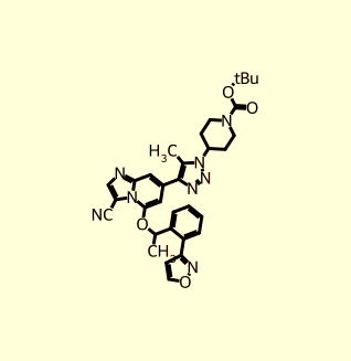 Cc1c(-c2cc(OC(C)c3ccccc3-c3ccon3)n3c(C#N)cnc3c2)nnn1C1CCN(C(=O)OC(C)(C)C)CC1